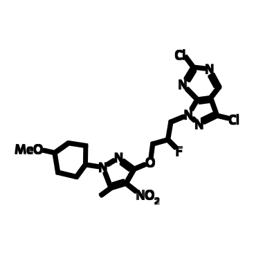 COC1CCC(n2nc(OCC(F)Cn3nc(Cl)c4cnc(Cl)nc43)c([N+](=O)[O-])c2C)CC1